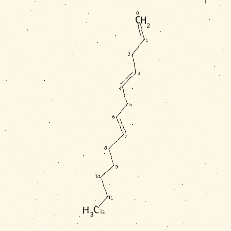 C=CCC=CCC=CCCCCC